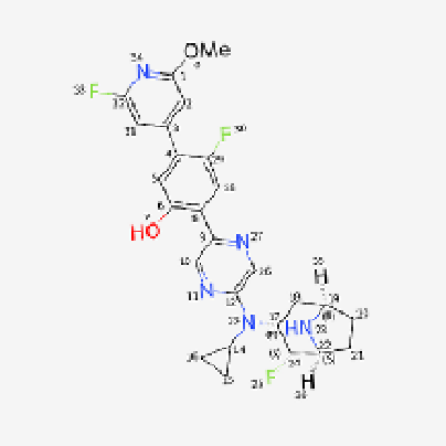 COc1cc(-c2cc(O)c(-c3cnc(N(C4CC4)[C@@H]4C[C@H]5CC[C@H](N5)[C@@H]4F)cn3)cc2F)cc(F)n1